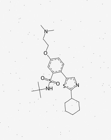 CN(C)CCOc1ccc(-c2cnc(C3CCCCC3)s2)c(S(=O)(=O)NC(C)(C)C)c1